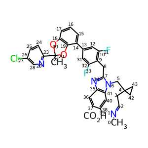 CN=CCC1(Cn2c(Cc3c(F)cc(-c4cccc5c4OC(C)(c4ccc(Cl)cn4)O5)cc3F)nc3ccc(C(=O)O)cc32)CC1